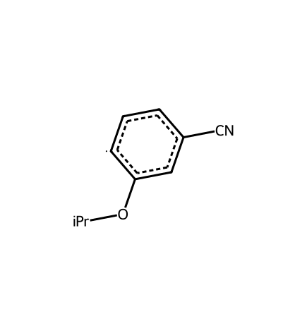 CC(C)Oc1[c]ccc(C#N)c1